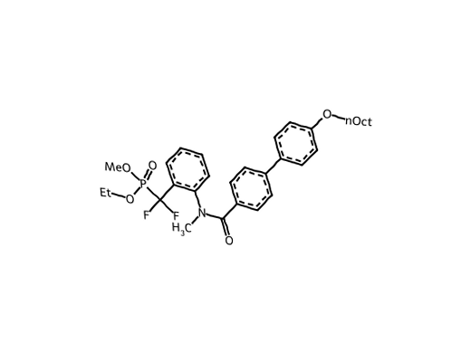 CCCCCCCCOc1ccc(-c2ccc(C(=O)N(C)c3ccccc3C(F)(F)P(=O)(OC)OCC)cc2)cc1